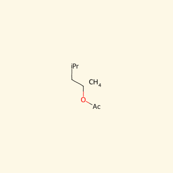 C.CC(=O)OCCC(C)C